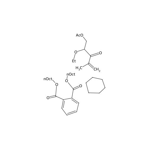 C1CCCCC1.C=C(C)C(=O)C(COC(C)=O)OCC.CCCCCCCCOC(=O)c1ccccc1C(=O)OCCCCCCCC